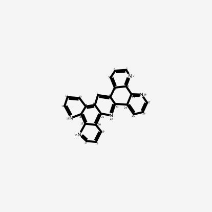 c1cnc2c(c1)c1cc3c4cccnc4c4ncccc4c3nc1c1cccnc12